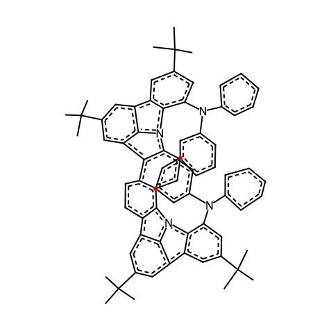 CC(C)(C)c1cc(N(c2ccccc2)c2ccccc2)c2c(c1)c1cc(C(C)(C)C)cc3c4c5ccc6c7cc(C(C)(C)C)cc8c9cc(C(C)(C)C)cc(N(c%10ccccc%10)c%10ccccc%10)c9n(c6c5ccc4n2c13)c87